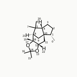 C[C@H]1CC[C@H]2C(C)(C)[C@H]3C[C@@]12C[C@@H]1OC(C)(C)O[C@@]13C